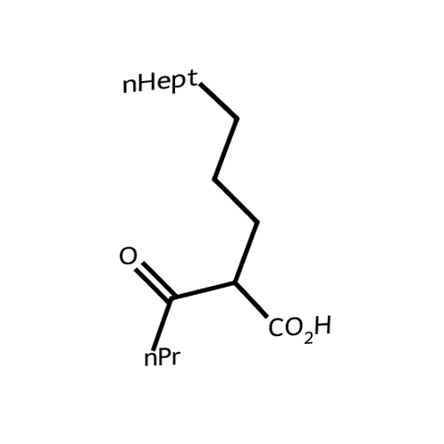 CCCCCCCCCCC(C(=O)O)C(=O)CCC